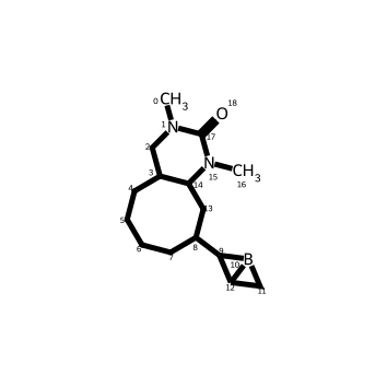 CN1CC2CCCCC(C3B4CC43)CC2N(C)C1=O